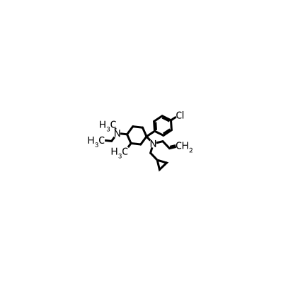 C=CCN(CC1CC1)C1(c2ccc(Cl)cc2)CCC(N(C)CC)C(C)C1